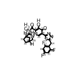 CN1C(=O)c2c(O)c(=O)c(-c3nnc(Cc4c(F)cc(F)cc4F)s3)cn2N2C[C@@H]3CC[C@@H](C3)[C@@H]12